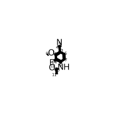 COc1c(C#N)ccc(NC(C)=O)c1F